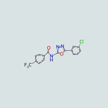 O=C(Nc1nnc(-c2cccc(Cl)c2)o1)c1ccc(C(F)(F)F)cc1